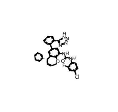 O=C(Nc1ccc(Cl)cc1F)Nc1cc(-c2ccccc2-c2nnn[nH]2)cc2c1OCC=C[C@@H]2c1ccccc1